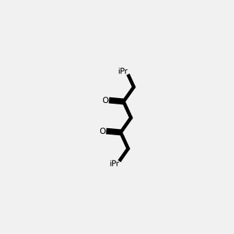 [CH2]C(C)CC(=O)CC(=O)CC(C)C